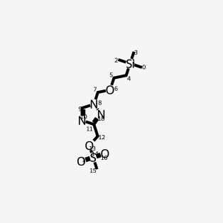 C[Si](C)(C)CCOCn1cnc(COS(C)(=O)=O)n1